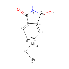 CC(C)[CH2][AlH2].O=C1NC(=O)c2ccccc21